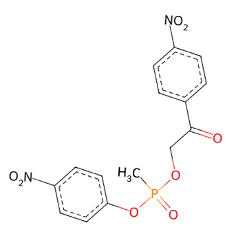 CP(=O)(OCC(=O)c1ccc([N+](=O)[O-])cc1)Oc1ccc([N+](=O)[O-])cc1